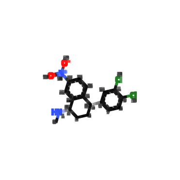 CN[C@H]1CC[C@@H](c2ccc(Cl)c(Cl)c2)c2ccc([N+](=O)[O-])cc21